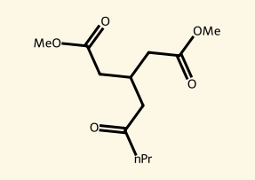 CCCC(=O)CC(CC(=O)OC)CC(=O)OC